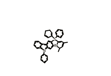 CC1=CC(C)NC(S(C2=CCCC=C2)(c2ccccc2)c2ccc3c(c2)c2ccccc2n3-c2ccccc2)=C1